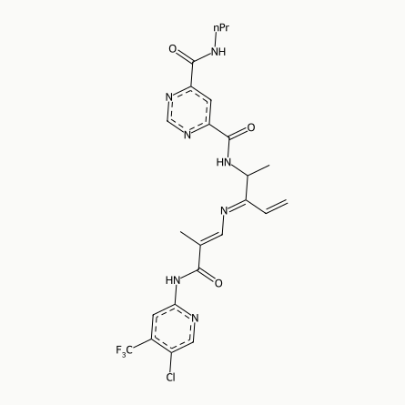 C=C/C(=N\C=C(/C)C(=O)Nc1cc(C(F)(F)F)c(Cl)cn1)C(C)NC(=O)c1cc(C(=O)NCCC)ncn1